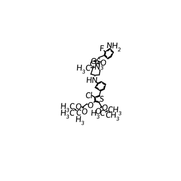 CC(C)(C)OC(=O)COc1c(C(=O)OC(C)(C)C)sc(-c2cccc(N[C@H]3CCN(S(=O)(=O)Cc4cccc(N)c4F)C(C)(C)C3)c2)c1Cl